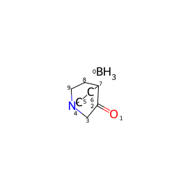 B.O=C1CN2CCC1CC2